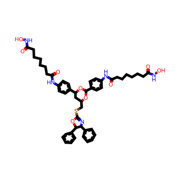 O=C(CCCCCCC(=O)Nc1ccc(C2CC(CSC3=NC(c4ccccc4)C(c4ccccc4)O3)OC(c3ccc(NC(=O)CCCCCCC(=O)NO)cc3)O2)cc1)NO